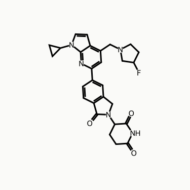 O=C1CCC(N2Cc3cc(-c4cc(CN5CCC(F)C5)c5ccn(C6CC6)c5n4)ccc3C2=O)C(=O)N1